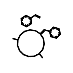 C=Cc1ccccc1.CC1CCCCCC(C)CCCC(=Cc2ccccc2)CCCC1